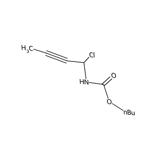 CC#CC(Cl)NC(=O)OCCCC